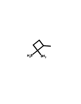 BC1(B)CCC1C